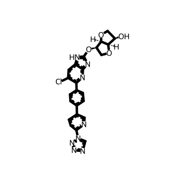 O[C@@H]1CO[C@H]2[C@@H]1OC[C@H]2Oc1nc2nc(-c3ccc(-c4ccc(-n5cnnn5)nc4)cc3)c(Cl)cc2[nH]1